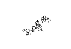 CN1C(=O)[C@H]2CN(CC(=O)OC(C)(C)C)CCN2c2ccc(NC3CCC(=O)NC3=O)cc21